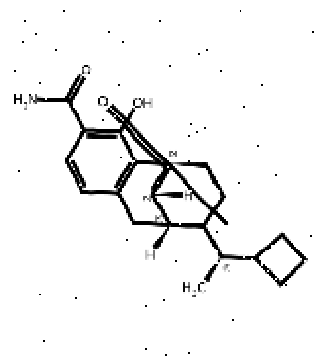 C[C@H](C1CCC1)C1CC[C@]23CC(=O)CC[C@H]2[C@H]1Cc1ccc(C(N)=O)c(O)c13